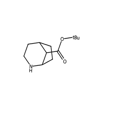 CC(C)(C)OC(=O)C1C2CCNC1CC2